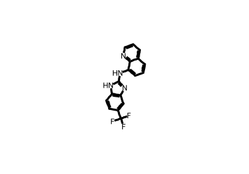 FC(F)(F)c1ccc2[nH]c(Nc3cccc4cccnc34)nc2c1